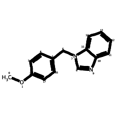 COc1ccc(Cn2[c]nc3ccccc32)cc1